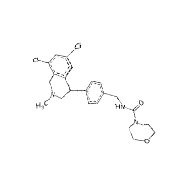 CN1Cc2c(Cl)cc(Cl)cc2C(c2ccc(CNC(=O)N3CCOCC3)cc2)C1